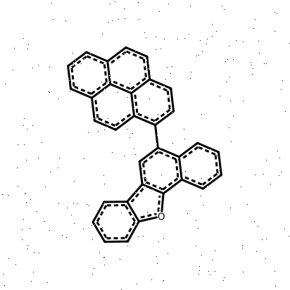 c1cc2ccc3ccc(-c4cc5c6ccccc6oc5c5ccccc45)c4ccc(c1)c2c34